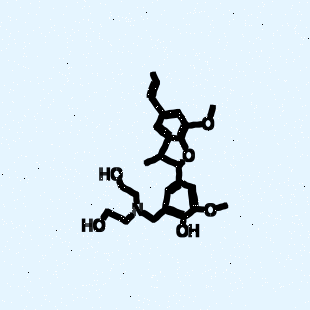 C/C=C/c1cc(OC)c2c(c1)C(C)C(c1cc(CN(CCO)CCO)c(O)c(OC)c1)O2